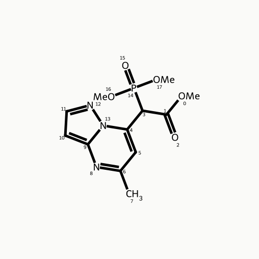 COC(=O)C(c1cc(C)nc2ccnn12)P(=O)(OC)OC